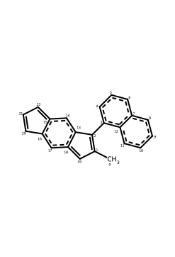 CC1=C(c2cccc3ccccc23)c2cc3c(cc2=[C]1)C=CC=3